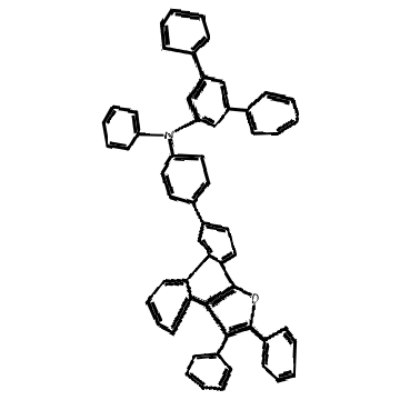 c1ccc(-c2cc(-c3ccccc3)cc(N(c3ccccc3)c3ccc(-c4ccc5c(c4)c4ccccc4c4c(-c6ccccc6)c(-c6ccccc6)oc54)cc3)c2)cc1